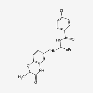 CCCC(NCc1ccc2c(c1)NC(=O)C(C)O2)NC(=O)c1ccc(Cl)cc1